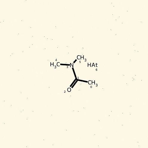 CC(=O)N(C)C.[AtH]